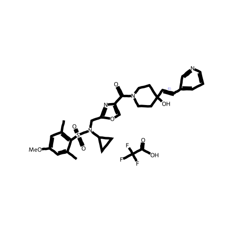 COc1cc(C)c(S(=O)(=O)N(Cc2nc(C(=O)N3CCC(O)(/C=C/c4cccnc4)CC3)co2)C2CC2)c(C)c1.O=C(O)C(F)(F)F